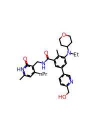 CCCc1cc(C)[nH]c(=O)c1CNC(=O)c1cc(-c2ccc(CO)nc2)cc(N(CC)C2CCOCC2)c1C